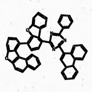 C1=CC2C=C(c3nc(-c4ccccc4)nc(-c4ccc(-c5cccc6oc7ccc8ccccc8c7c56)c5oc6ccccc6c45)n3)c3ccccc3C2C=C1